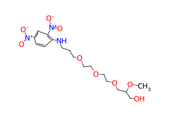 COC(CO)COCCOCCOCCCNc1ccc([N+](=O)[O-])cc1[N+](=O)[O-]